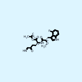 CO[C@@H](Cc1c[nH]c2cccc(F)c12)C(=O)N[C@@H](CCC(=O)C=N)C(=O)OC(C)C